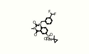 Cn1c(=O)c2cc(S(=O)(=O)NC3(C)CC3)ccc2n(Cc2cccc(C(F)F)c2)c1=O